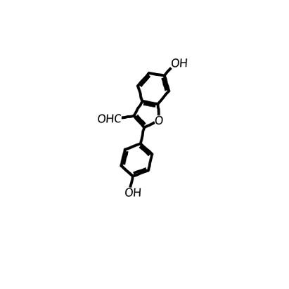 O=Cc1c(-c2ccc(O)cc2)oc2cc(O)ccc12